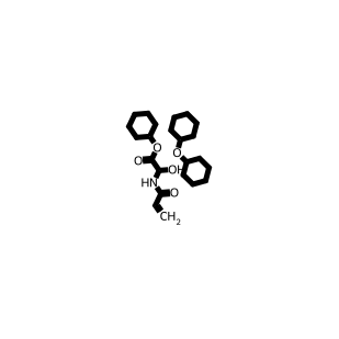 C1CCC(OC2CCCCC2)CC1.C=CC(=O)NC(O)C(=O)OC1CCCCC1